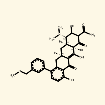 COCc1cccc(-c2ccc(O)c3c2C[C@H]2C[C@H]4[C@H](N(C)C)C(O)C(C(N)=O)C(=O)[C@@]4(O)C(O)=C2C3=O)c1